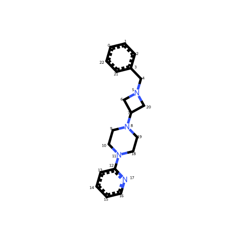 c1ccc(CN2CC(N3CCN(c4ccccn4)CC3)C2)cc1